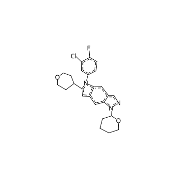 Fc1ccc(-n2c(C3CCOCC3)cc3cc4c(cnn4C4CCCCO4)cc32)cc1Cl